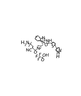 CC(C)(N)C=C(C#N)C(=O)N1CC(Cn2c(NC(=O)c3ccc(-c4cn[nH]c4)s3)nc3ccccc32)C1.O=C(O)C(F)(F)F